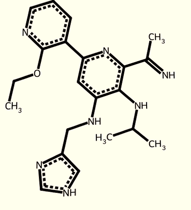 CCOc1ncccc1-c1cc(NCc2c[nH]cn2)c(NC(C)C)c(C(C)=N)n1